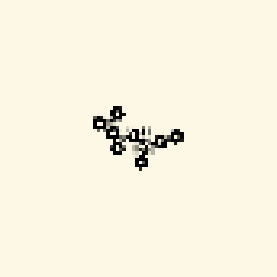 C1=C(C2NC(c3ccccc3)=NC(c3ccc(-c4ccccc4)cc3)N2)C=C(n2c3ccccc3c3cc4c5ccccc5n(-c5ccccc5)c4cc32)NC1